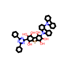 Oc1c(-n2c3ccccc3c3c(-n4c5ccccc5c5ccccc54)cccc32)c(O)c2c(sc3c(O)c(-c4nc(-c5ccccc5)nc(-c5ccccc5)n4)c(O)c(O)c32)c1O